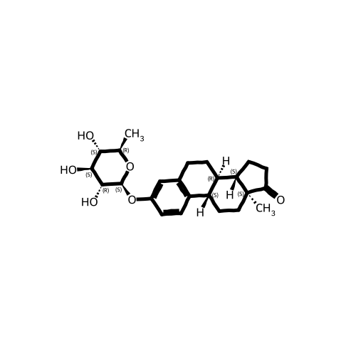 C[C@H]1O[C@@H](Oc2ccc3c(c2)CC[C@@H]2[C@@H]3CC[C@]3(C)C(=O)CC[C@@H]23)[C@H](O)[C@@H](O)[C@@H]1O